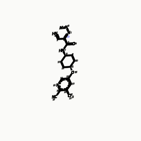 CN/N=C(\C=N)C(=O)N[C@H]1CC[C@H](Oc2cnc(C#N)c(C(F)(F)F)c2)CC1